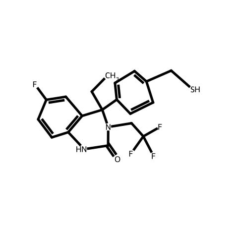 CCC1(c2ccc(CS)cc2)c2cc(F)ccc2NC(=O)N1CC(F)(F)F